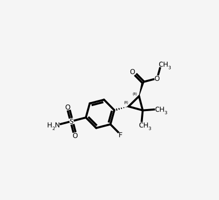 COC(=O)[C@@H]1[C@@H](c2ccc(S(N)(=O)=O)cc2F)C1(C)C